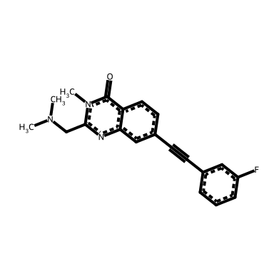 CN(C)Cc1nc2cc(C#Cc3cccc(F)c3)ccc2c(=O)n1C